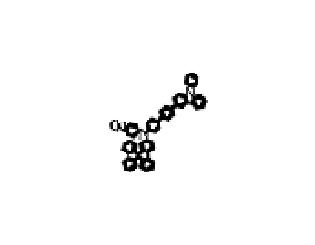 [C-]#[N+]c1ccc(N(c2ccc(-c3ccc(-c4ccc5c(c4)c4ccccc4n5-c4ccccc4)cc3)cc2)c2ccc3c(c2)C(c2ccccc2)(c2ccccc2)c2ccccc2-3)cc1